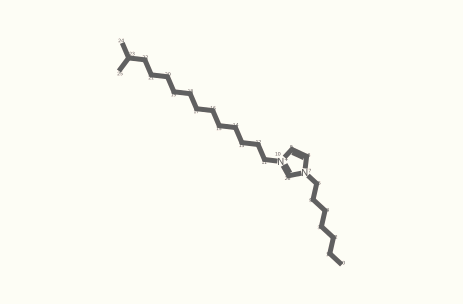 CCCCCCCn1cc[n+](CCCCCCCCCCCCC(C)C)c1